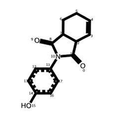 O=C1C2C=CCCC2C(=O)N1c1ccc(O)cc1